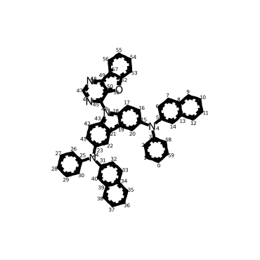 c1ccc(N(c2ccc3ccccc3c2)c2ccc3c(c2)c2cc(N(c4ccccc4)c4ccc5ccccc5c4)ccc2n3-c2ncnc3c2oc2ccccc23)cc1